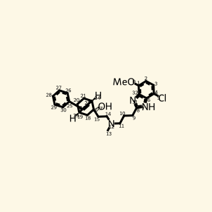 COc1ccc(Cl)c2[nH]c(CCCN(C)CC[C@@]3(O)C[C@@H]4CC[C@H]3C=C4c3ccccc3)nc12